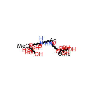 COC(OCCCCC(=O)NCCCCC(NC(=O)CCCCOC(OC)C(O)C(O)C(O)CCO)C(C)=O)C(O)C(O)C(O)CCO